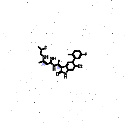 CCC1C=C2NC(=O)/C(=C(/C)NC(=N)/C=C(/C)NCC(C)F)C2=CC1c1cc(F)ccc1C